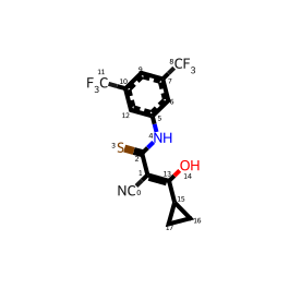 N#CC(C(=S)Nc1cc(C(F)(F)F)cc(C(F)(F)F)c1)=C(O)C1CC1